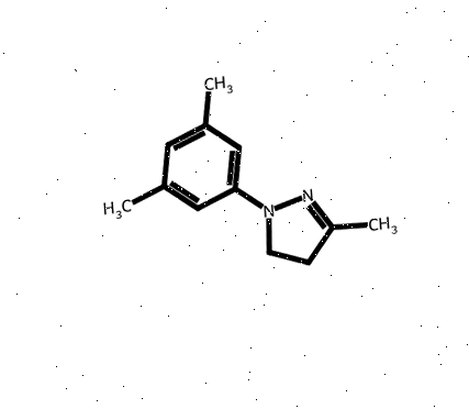 CC1=NN(c2cc(C)cc(C)c2)CC1